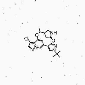 CC(Oc1cc(-c2cnn(C(C)(C)C)c2)cn2ncc(Cl)c12)C1CNC(=O)C1